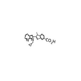 CC1C(c2cc3cccnc3n2CC2CC2)=Cc2cc(C(=O)O)ccc21